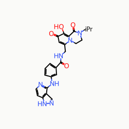 CC(C)N1CCn2c(CNC(=O)c3cccc(Nc4nccc5[nH]ncc45)c3)cc(=O)c(O)c2C1=O